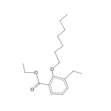 CCCCCCCOc1c(CC)cccc1C(=O)OCC